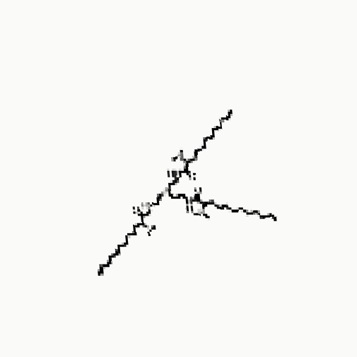 CCCCCCCCCCC(C(=O)CNCCN(CCNC(=O)C(CCCCCCCCCC)N(C)C)CCNC(=O)C(CCCCCCCCCC)N(C)C)N(C)C